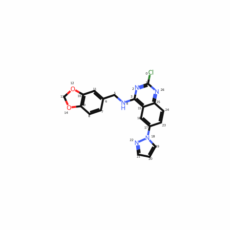 Clc1nc(NCc2ccc3c(c2)OCO3)c2cc(-n3cccn3)ccc2n1